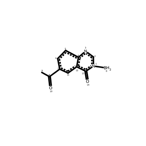 Bn1cnc2ccc(C(C)=O)cc2c1=O